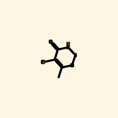 CC1=C(Cl)C(=O)NSO1